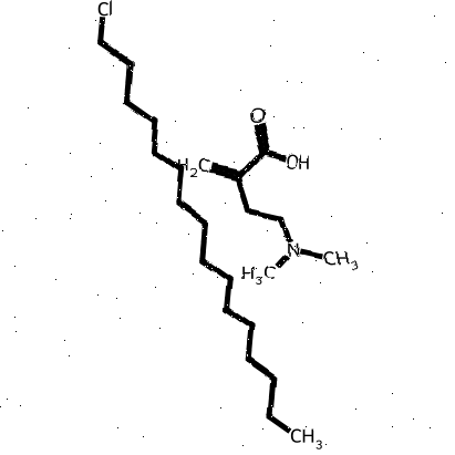 C=C(CCN(C)C)C(=O)O.CCCCCCCCCCCCCCCCCl